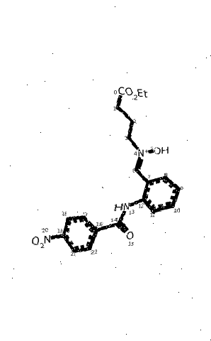 CCOC(=O)CCC[N+](O)=Cc1ccccc1NC(=O)c1ccc([N+](=O)[O-])cc1